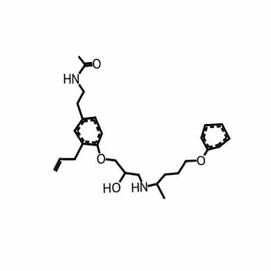 C=CCc1cc(CCNC(C)=O)ccc1OCC(O)CNC(C)CCCOc1ccccc1